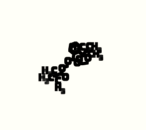 CC(C)(C)C(=O)OCOC(=O)c1ccccc1C1(C(C)(C)C)OCCO1